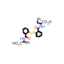 CC(C)CC(NC(=O)c1ccccc1SSc1ccccc1C(=O)NC(C(=O)O)C(C)C)C(=O)O